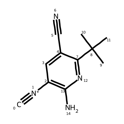 [C-]#[N+]c1cc(C#N)c(C(C)(C)C)nc1N